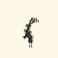 C#CCC(CC#C)COC(=O)OCOC(=O)c1cn(C2CC2)c2cc(N3CCNCC3)c(F)cc2c1=O